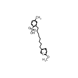 COc1ccc(CCCCCCCCc2cc(C)ccc2S(=O)(=O)O)cc1